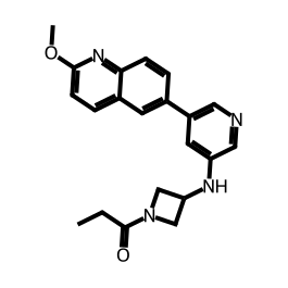 CCC(=O)N1CC(Nc2cncc(-c3ccc4nc(OC)ccc4c3)c2)C1